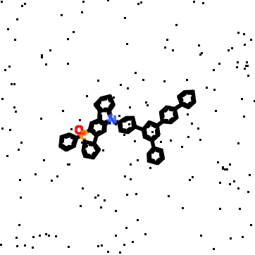 O=P1(c2ccccc2)c2ccccc2-c2cc3c(cc21)c1ccccc1n3-c1ccc(-c2cc(-c3ccccc3)cc(-c3ccc(-c4ccccc4)cc3)c2)cc1